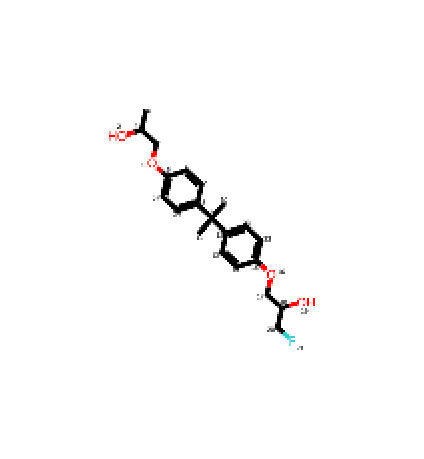 CC(O)COc1ccc(C(C)(C)c2ccc(OCC(O)CF)cc2)cc1